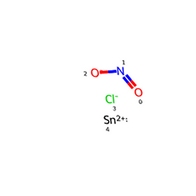 O=N[O-].[Cl-].[Sn+2]